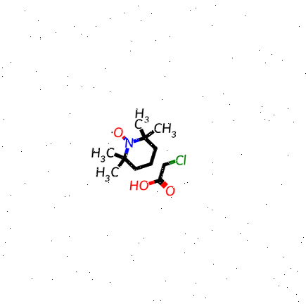 CC1(C)CCCC(C)(C)N1[O].O=C(O)CCl